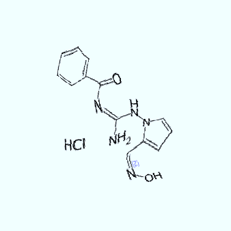 Cl.NC(=NC(=O)c1ccccc1)Nn1cccc1/C=N\O